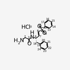 Cl.NCC(=O)N[C@H](C=CS(=O)(=O)c1ccccc1)Cc1ccccc1